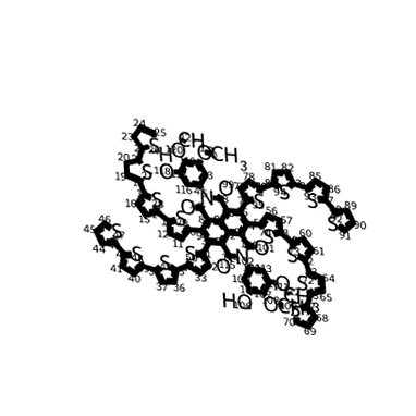 COc1cc(N2C(=O)c3c(-c4ccc(-c5ccc(C6=CCC(C7CC=CS7)S6)s5)s4)c(-c4ccc(-c5ccc(-c6ccc(-c7cccs7)s6)s5)s4)c4c5c(c(-c6ccc(-c7ccc(-c8ccc(-c9cccs9)s8)s7)s6)c(-c6ccc(-c7ccc(-c8ccc(-c9cccs9)s8)s7)s6)c(c35)C2=O)C(=O)N(c2cc(O)c(OC)c(OC)c2)C4=O)cc(O)c1OC